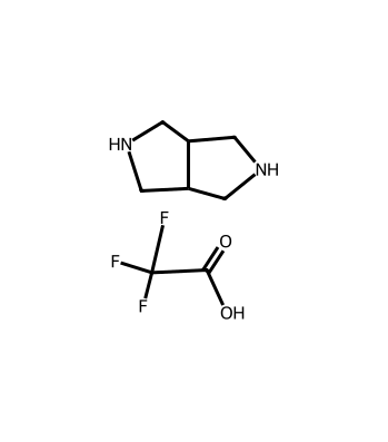 C1NCC2CNCC12.O=C(O)C(F)(F)F